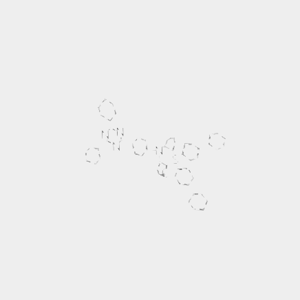 c1ccc(-c2ccc3c(c2)-c2cc(-c4ccccc4)ccc2S32c3ccccc3N(c3ccc(-c4nc(-c5ccccc5)nc(-c5ccccc5)n4)cc3)c3ccccc32)cc1